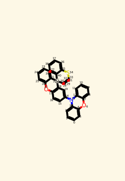 c1ccc2c(c1)Oc1ccccc1N2c1ccc2c(c1)[Si]1(c3ccccc3O2)c2ccccc2Sc2ccccc21